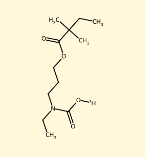 [3H]OC(=O)N(CC)CCCOC(=O)C(C)(C)CC